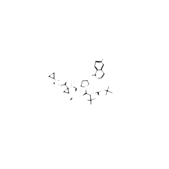 C=C[C@@H]1C[C@]1(NC(=O)[C@@H]1C[C@@H](Oc2nccc3cc(Cl)ccc23)CN1C(=O)[C@@H](NC(=O)OC(C)(C)C)C(C)(C)C)C(=O)NS(=O)(=O)C1CC1